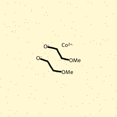 COCC[O-].COCC[O-].[Co+2]